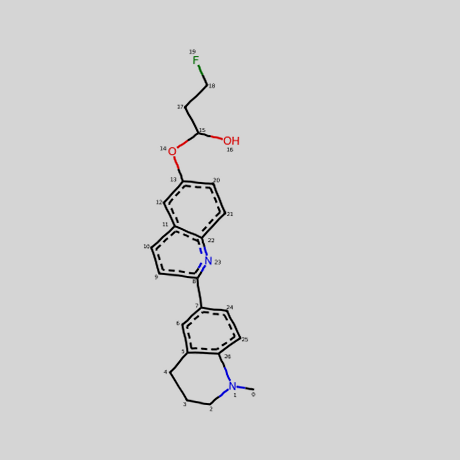 CN1CCCc2cc(-c3ccc4cc(OC(O)CCF)ccc4n3)ccc21